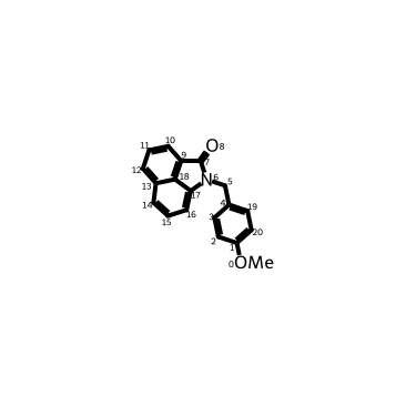 COc1ccc(CN2C(=O)c3cccc4cccc2c34)cc1